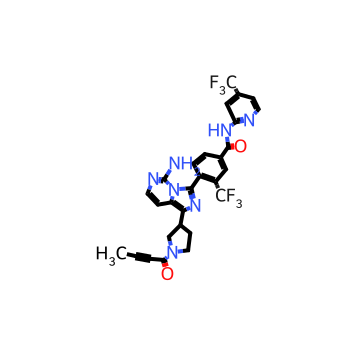 CC#CC(=O)N1CCC(c2nc(-c3ccc(C(=O)Nc4cc(C(F)(F)F)ccn4)cc3C(F)(F)F)n3c(N)nccc23)C1